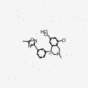 Cc1nc(-c2cccc([C@@H]3CN(C)Cc4c(Cl)cc(Cl)cc43)c2)no1.Cl